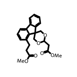 COC(=O)CCc1cccc2c1C1(COC(CC(=O)OC)OC1)c1ccccc1-2